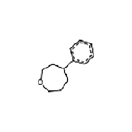 c1ccc(C2CCCOCC2)cc1